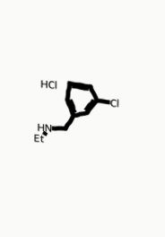 CCNCc1cccc(Cl)c1.Cl